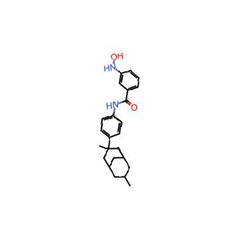 CC1CC2CC(C1)CC(C)(c1ccc(NC(=O)c3cccc(NO)c3)cc1)C2